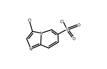 O=S(=O)(Cl)c1ccc2ncc(Cl)n2c1